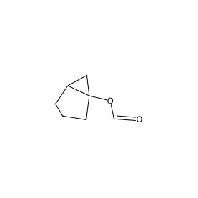 O=COC12CCCC1C2